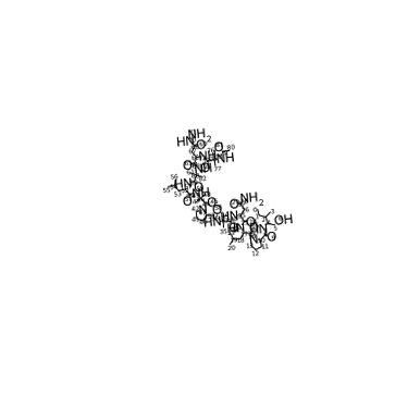 CCC(C)C(CO)NC(=O)C1CCCN1C(=O)C(CC(C)C)NC(=O)C(CC(N)=O)NC(=O)C(C)(C)NC(=O)C1CCCN1C(=O)C(C)(C)NC(=O)C(CC(C)C)NC(=O)C(C)(C)NC(=O)C(CC(=O)NN)NC(=O)C(C)(C)NC(C)=O